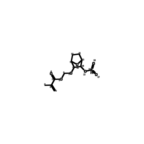 C=C(C)C(=O)OCOC1C2CCC(O2)C1O[SH](=O)=O